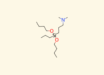 CCCCO[Si](CCC)(CCCN(C)C)OCCCC